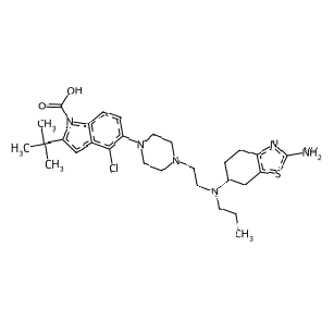 CCCN(CCN1CCN(c2ccc3c(cc(C(C)(C)C)n3C(=O)O)c2Cl)CC1)C1CCc2nc(N)sc2C1